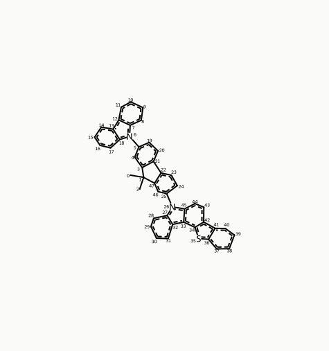 CC1(C)c2cc(-n3c4ccccc4c4ccccc43)ccc2-c2ccc(-n3c4ccccc4c4c5sc6ccccc6c5ccc43)cc21